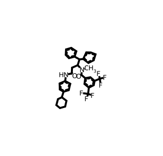 CN(C(=O)c1cc(C(F)(F)F)cc(C(F)(F)F)c1)C(CC(=O)Nc1ccc(C2CCCCC2)cc1)C(c1ccccc1)c1ccccc1